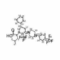 CC(C)CC(C(=O)O)c1cc(-c2ccccc2)cc(N2CCN(c3ccc(C(F)(F)F)cc3)CC2)c1C(F)(F)F